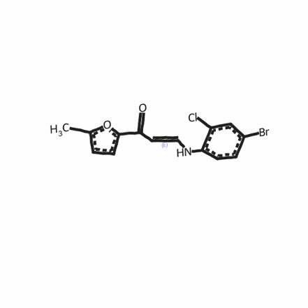 Cc1ccc(C(=O)/C=C/Nc2ccc(Br)cc2Cl)o1